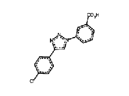 O=C(O)c1cccc(-n2cc(-c3ccc(Cl)cc3)nn2)c1